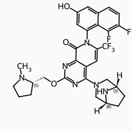 CN1CCC[C@H]1COc1nc(N2C[C@H]3CC[C@@H](C2)N3)c2cc(C(F)(F)F)n(-c3cc(O)cc4ccc(F)c(F)c34)c(=O)c2n1